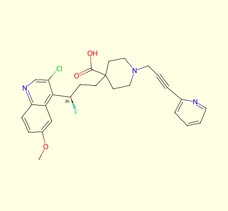 COc1ccc2ncc(Cl)c([C@H](F)CCC3(C(=O)O)CCN(CC#Cc4ccccn4)CC3)c2c1